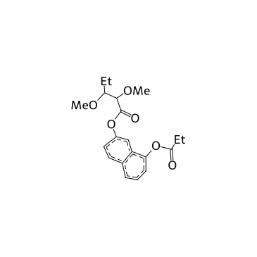 CCC(=O)Oc1cccc2ccc(OC(=O)C(OC)C(CC)OC)cc12